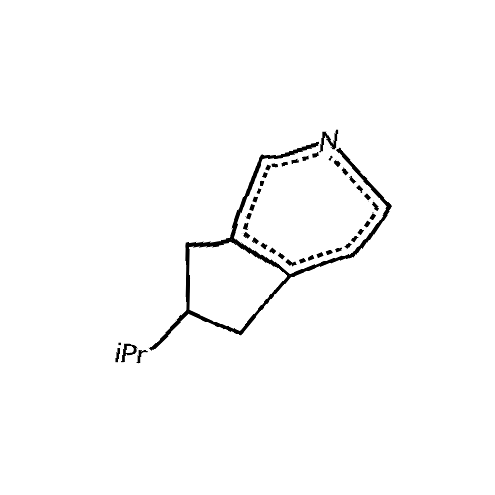 CC(C)C1Cc2ccncc2C1